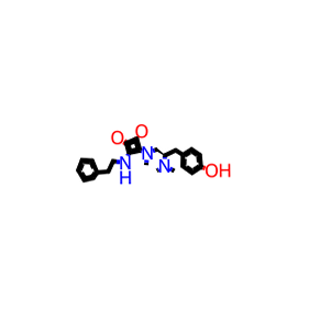 CN(C[C@@H](Cc1ccc(O)cc1)N(C)C)c1c(NCCc2ccccc2)c(=O)c1=O